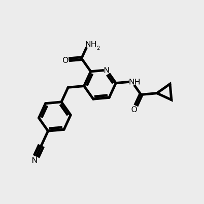 N#Cc1ccc(Cc2ccc(NC(=O)C3CC3)nc2C(N)=O)cc1